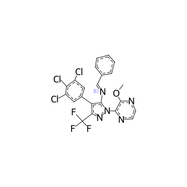 COc1nccnc1-n1nc(C(F)(F)F)c(-c2cc(Cl)c(Cl)c(Cl)c2)c1/N=C/c1ccccc1